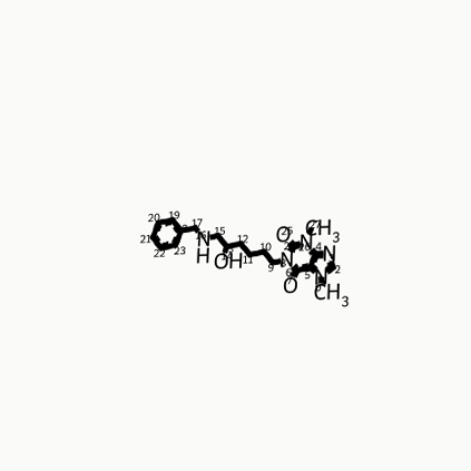 Cn1cnc2c1c(=O)n(CCCCC(O)CNCc1ccccc1)c(=O)n2C